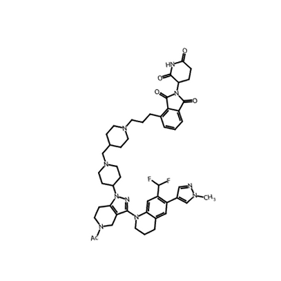 CC(=O)N1CCc2c(c(N3CCCc4cc(-c5cnn(C)c5)c(C(F)F)cc43)nn2C2CCN(CC3CCN(CCCc4cccc5c4C(=O)N(C4CCC(=O)NC4=O)C5=O)CC3)CC2)C1